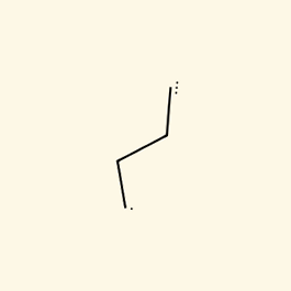 [C]CC[CH2]